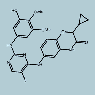 COc1cc(Nc2ncc(F)c(Nc3ccc4c(c3)NC(=O)C(C3CC3)O4)n2)cc(O)c1OC